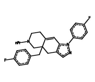 CCCN1CCC2=Cc3c(cnn3-c3ccc(F)cc3)CC2(Cc2ccc(F)cc2)C1